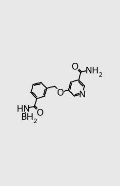 BNC(=O)c1cccc(COc2cncc(C(N)=O)c2)c1